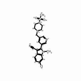 Cn1c(-c2cncc(CN3CCN(S(C)(=O)=O)CC3)c2)c(C#N)c2ccc(Cl)cc21